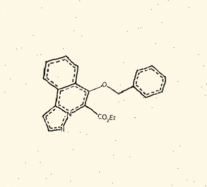 CCOC(=O)c1c(OCc2ccccc2)c2ccccc2c2ccnn12